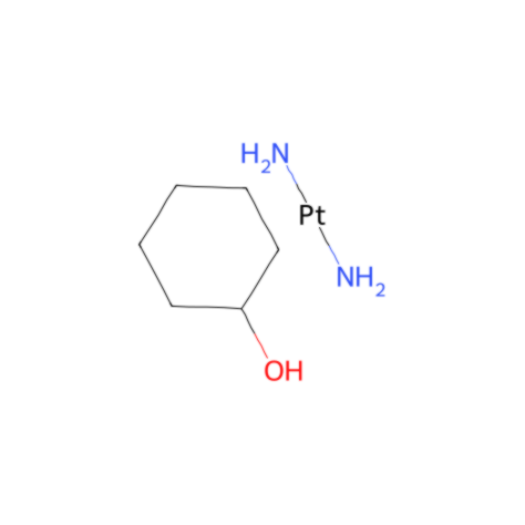 OC1CCCCC1.[NH2][Pt][NH2]